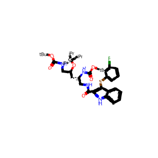 CC(C)[Si](OC(CNC(=O)OC(C)(C)C)C[C@@H](CNC(=O)c1[nH]c2ccccc2c1Sc1cccc(F)c1)NC(=O)OC(C)(C)C)(C(C)C)C(C)C